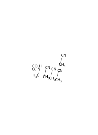 CC#N.CC#N.CC#N.CC#N.CC(=O)O.[Cu]